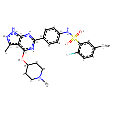 COc1ccc(F)c(S(=O)(=O)Nc2ccc(-c3nc(OC4CCN(C(C)=O)CC4)c4c(C)n[nH]c4n3)cc2)c1